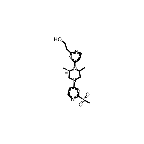 CC1CN(c2ccnc(S(C)(=O)=O)n2)C[C@@H](C)N1c1ccnc(CCO)n1